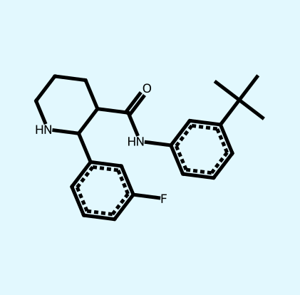 CC(C)(C)c1cccc(NC(=O)C2CCCNC2c2cccc(F)c2)c1